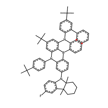 CC(C)(C)c1ccc(N2c3cc(N4c5ccc(F)cc5C5(C)CCCCC45C)ccc3B3c4ccccc4N(c4ccc(C(C)(C)C)cc4-c4ccccc4)c4cc(C(C)(C)C)cc2c43)cc1